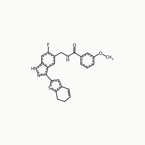 COc1cccc(C(=O)NCc2cc3c(-c4cc5c(s4)CCC=C5)n[nH]c3cc2F)c1